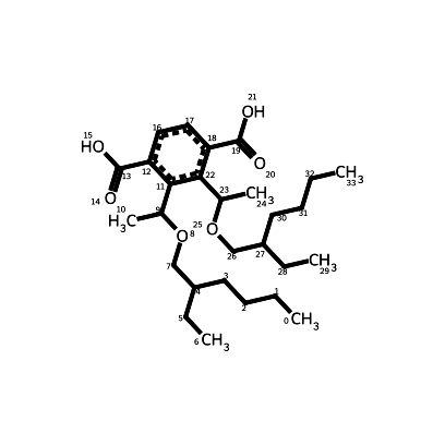 CCCCC(CC)COC(C)c1c(C(=O)O)ccc(C(=O)O)c1C(C)OCC(CC)CCCC